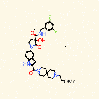 COCCN1CCC2(CC1)CCN(C(=O)c1cc3cc(N4CCC(O)(C(=O)NCc5cc(F)cc(F)c5)C4=O)ccc3[nH]1)CC2